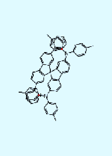 Cc1ccc(N(c2ccc(C)cc2)c2ccc3c(c2)C2(c4cc(-c5ccccn5)ccc4-c4ccc(-c5ccccn5)cc42)c2cc(N(c4ccc(C)cc4)c4ccc(C)cc4)ccc2-3)cc1